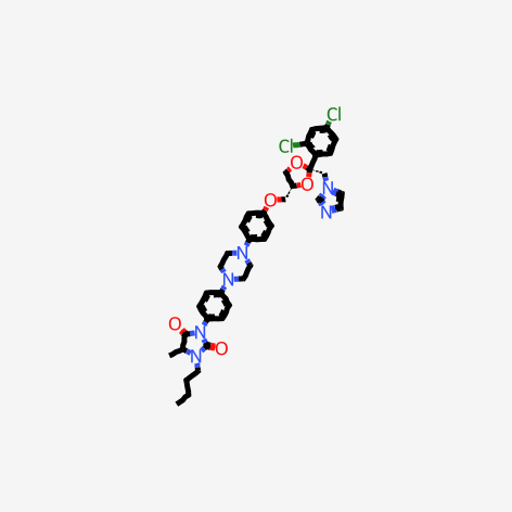 CCCCN1C(=O)N(c2ccc(N3CCN(c4ccc(OC[C@@H]5CO[C@@](Cn6ccnc6)(c6ccc(Cl)cc6Cl)O5)cc4)CC3)cc2)C(=O)C1C